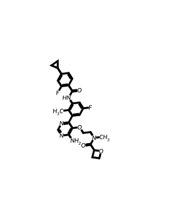 Cc1c(NC(=O)c2ccc(C3CC3)cc2F)cc(F)cc1-c1ncnc(N)c1OCCN(C)C(=O)C1CCO1